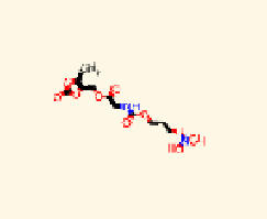 Cc1oc(=O)oc1COC(=O)CNC(=O)OCCCON(O)O